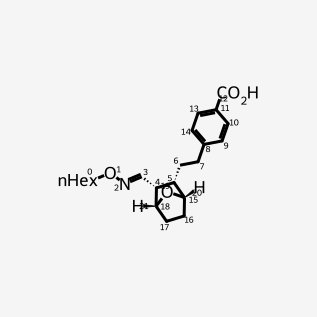 CCCCCCON=C[C@@H]1[C@H](CCc2ccc(C(=O)O)cc2)[C@@H]2CC[C@H]1O2